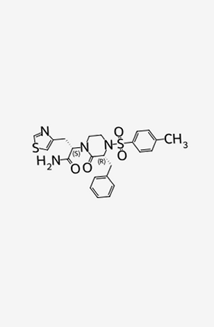 Cc1ccc(S(=O)(=O)N2CCN([C@@H](Cc3cscn3)C(N)=O)C(=O)[C@H]2Cc2ccccc2)cc1